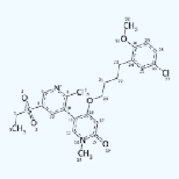 CCS(=O)(=O)c1cnc(Cl)c(-c2cn(C)c(=O)cc2OCCCCc2cc(Cl)ccc2OC)c1